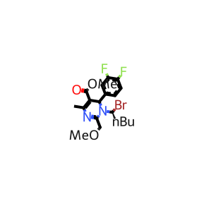 CCCC[C@H](Br)N1C(COC)=NC(C)=C(C(=O)OC)C1c1ccc(F)c(F)c1